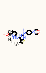 Cc1csc2nc(NC3CCC(N4CCOCC4)CC3)nc(Nc3cccc(C(C)(C)O)n3)c12